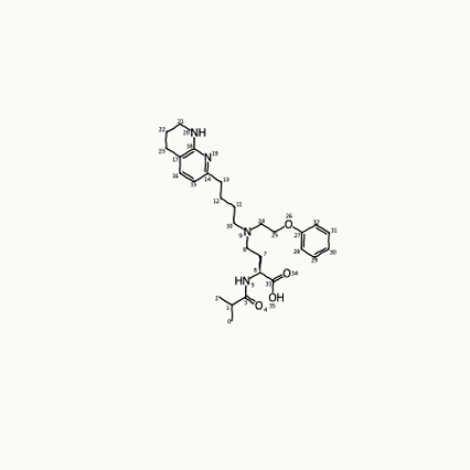 CC(C)C(=O)N[C@@H](CCN(CCCCc1ccc2c(n1)NCCC2)CCOc1ccccc1)C(=O)O